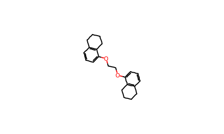 c1cc2c(c(OCCOc3cccc4c3CCCC4)c1)CCCC2